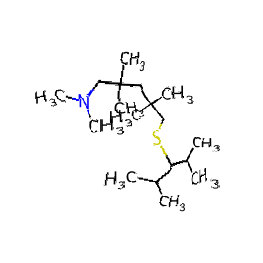 CC(C)C(SCC(C)(C)CC(C)(C)CN(C)C)C(C)C